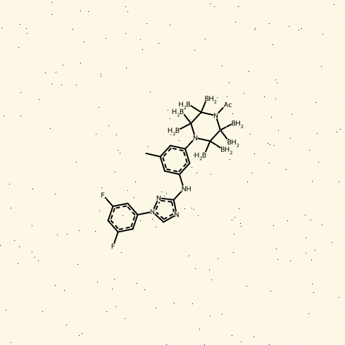 BC1(B)N(C(C)=O)C(B)(B)C(B)(B)N(c2cc(C)cc(Nc3ncn(-c4cc(F)cc(F)c4)n3)c2)C1(B)B